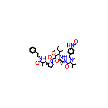 CCC(C)C(C(CC(=O)N1CCC[C@H]1CC(C)C(=O)NCCc1ccccc1)OC)N(C)C(=O)[C@H](C)NC(=O)C(C(C)C)N(C)Cc1ccc(NC=O)cc1